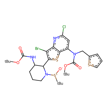 CC(C)(C)OC(=O)NC1CCCN([S+]([O-])C(C)(C)C)C1c1sc2c(N(Cc3cccs3)C(=O)OC(C)(C)C)cc(Cl)nc2c1Br